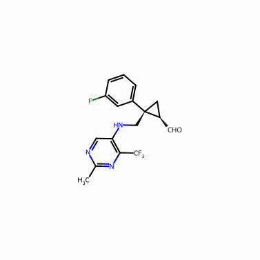 Cc1ncc(NC[C@@]2(c3cccc(F)c3)C[C@H]2C=O)c(C(F)(F)F)n1